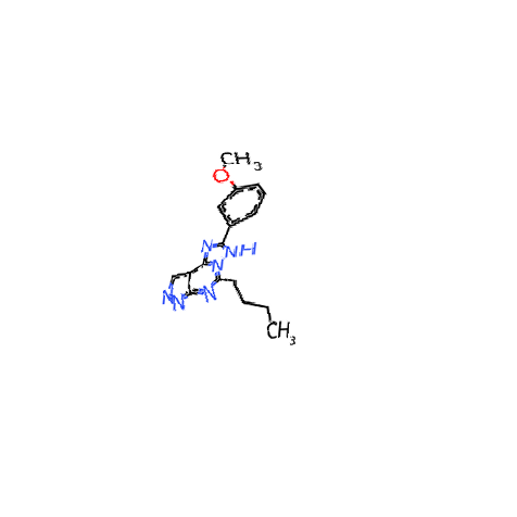 CCCCc1nc2nncc-2c2nc(-c3cccc(OC)c3)[nH]n12